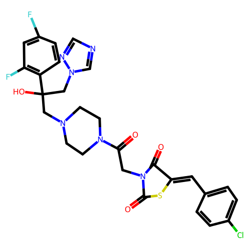 O=C(CN1C(=O)S/C(=C\c2ccc(Cl)cc2)C1=O)N1CCN(CC(O)(Cn2cncn2)c2ccc(F)cc2F)CC1